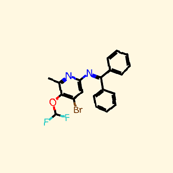 Cc1nc(N=C(c2ccccc2)c2ccccc2)cc(Br)c1OC(F)F